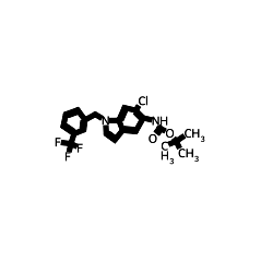 CC(C)(C)OC(=O)Nc1cc2ccn(Cc3cccc(C(F)(F)F)c3)c2cc1Cl